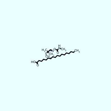 CCCCCCCCCCCCCCCCCC(=O)O.CNC(=O)O/N=C/C(C)(C)SC